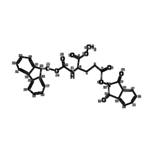 COC(=O)C(CCC(=O)ON1C(=O)c2ccccc2C1=O)NC(=O)OCC1c2ccccc2-c2ccccc21